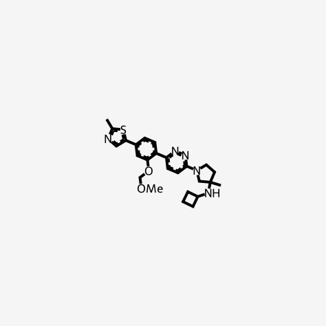 COCOc1cc(-c2cnc(C)s2)ccc1-c1ccc(N2CCC(C)(NC3CCC3)C2)nn1